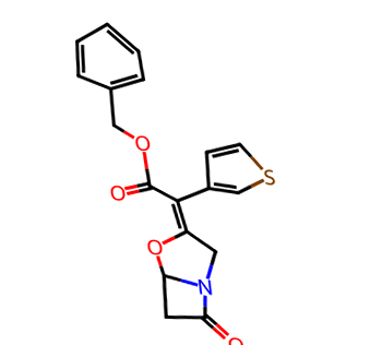 O=C(OCc1ccccc1)C(=C1CN2C(=O)CC2O1)c1ccsc1